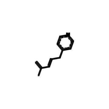 C=C(C)C=CCc1ccncc1